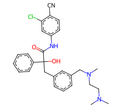 CN(C)CCN(C)Cc1cccc(CC(O)(C(=O)Nc2ccc(C#N)c(Cl)c2)c2ccccc2)c1